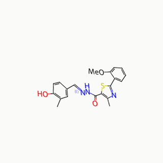 COc1ccccc1-c1nc(C)c(C(=O)N/N=C/c2ccc(O)c(C)c2)s1